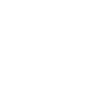 COC(OC)C1CCN(c2ccc(-c3ccc(OCc4ccccc4)nc3OCc3ccccc3)cc2)CC1